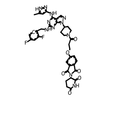 Cc1cc(Nc2nc(NCc3ccc(F)cc3F)nc3c2cnn3C2CCN(C(=O)CCOc3ccc4c(c3)C(=O)N(C3CCC(=O)NC3=O)C4=O)CC2)n[nH]1